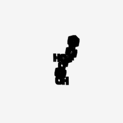 Oc1ccc(OC[C@H](O)CN2CCN(c3ccccc3)CC2)cc1